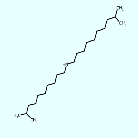 CC(C)CCCCCCCCNCCCCCCCCC(C)C